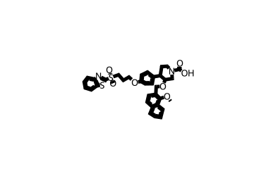 COc1c(COC2CN(C(=O)O)CCC2c2ccc(OCCCS(=O)(=O)c3nc4ccccc4s3)cc2)ccc2ccccc12